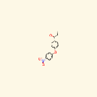 CCC(=O)c1ccc(Oc2ccc([N+](=O)[O-])cc2)cc1